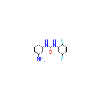 NC1=CCCC(NC(=O)NC2CC(F)C=CC2F)C1